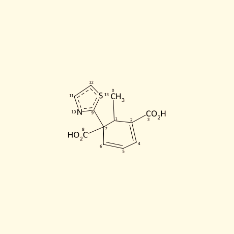 CC1C(C(=O)O)=CC=CC1(C(=O)O)c1nccs1